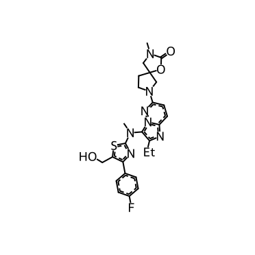 CCc1nc2ccc(N3CCC4(CN(C)C(=O)O4)C3)nn2c1N(C)c1nc(-c2ccc(F)cc2)c(CO)s1